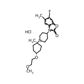 COCCO[C@H]1CC[C@](C)(N2CCC(n3c(=O)oc4cc(F)c(C)cc43)CC2)CC1.Cl